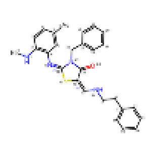 CCNc1ccc(C(C)=O)cc1/N=C1/S/C(=C/NCCc2ccccc2)C(=O)N1Cc1ccccc1